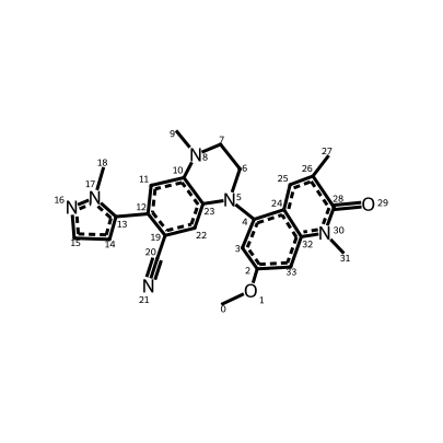 COc1cc(N2CCN(C)c3cc(-c4ccnn4C)c(C#N)cc32)c2cc(C)c(=O)n(C)c2c1